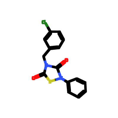 O=c1sn(-c2ccccc2)c(=O)n1Cc1cccc(Cl)c1